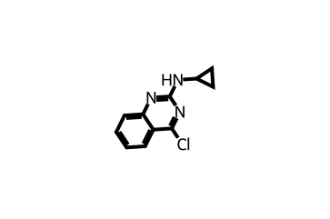 Clc1nc(NC2CC2)nc2ccccc12